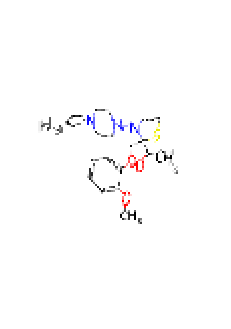 COc1ccccc1OCC1(C(C)=O)SCCN1N1CCN(C)CC1